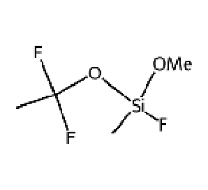 CO[Si](C)(F)OC(C)(F)F